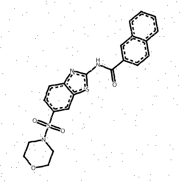 O=C(Nc1nc2ccc(S(=O)(=O)N3CCOCC3)cc2s1)c1ccc2ccccc2c1